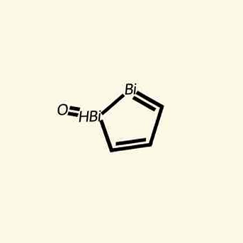 [O]=[BiH]1[CH]=C[CH]=[Bi]1